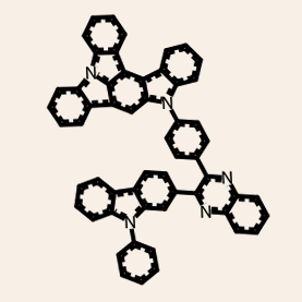 c1ccc(-n2c3ccccc3c3ccc(-c4nc5ccccc5nc4-c4ccc(-n5c6ccccc6c6c7c8ccccc8n8c9ccccc9c(cc65)c78)cc4)cc32)cc1